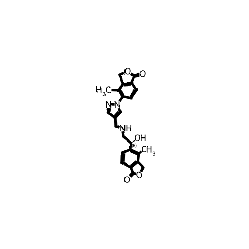 Cc1c([C@@H](O)CNCc2cnn(-c3ccc4c(c3C)COC4=O)c2)ccc2c1COC2=O